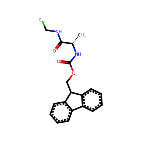 C[C@H](NC(=O)OCC1c2ccccc2-c2ccccc21)C(=O)NCCl